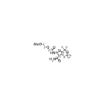 COCCOCC(=O)Nc1sc2c(c1C(N)=O)CC(C)(C)OC2(C)C